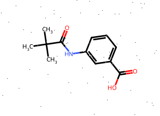 CC(C)(C)C(=O)Nc1cccc(C(=O)O)c1